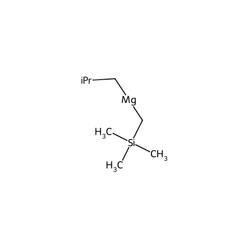 CC(C)[CH2][Mg][CH2][Si](C)(C)C